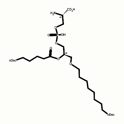 CCCCCCCCCCCCCCCCCCOC[C@H](COP(=O)(O)OC[C@H](N)C(=O)O)OC(=O)CCCCCCCCCCCCCC